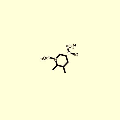 CCCCCCCCN1CCCC(C)C1C.CCOS(=O)(=O)O